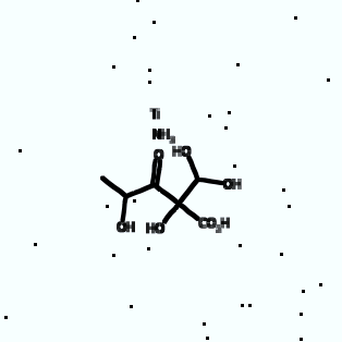 CC(O)C(=O)C(O)(C(=O)O)C(O)O.N.[Ti]